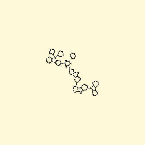 c1ccc(-c2nc(-c3ccc4c(c3)C(c3ccccc3)(c3ccccc3)c3ccccc3-4)nc(-c3ccc4c(c3)oc3ccc(-c5cccc6sc7cc(-n8c9ccccc9c9ccccc98)ccc7c56)cc34)n2)cc1